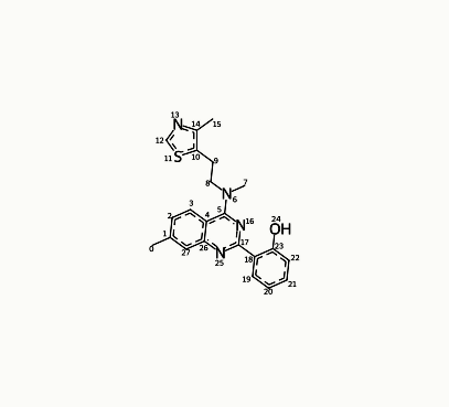 Cc1ccc2c(N(C)CCc3scnc3C)nc(-c3ccccc3O)nc2c1